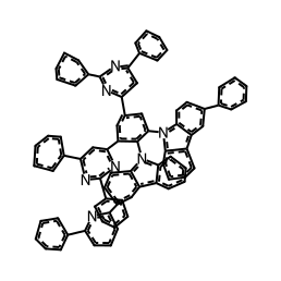 c1ccc(-c2ccc3c(c2)c2ccccc2n3-c2cc(-c3cc(-c4ccccc4)nc(-c4ccccc4)n3)cc(-c3cc(-c4ccccc4)nc(-c4ccccc4)n3)c2-n2c3ccccc3c3cc(-c4cccc(-c5ccccc5)n4)ccc32)cc1